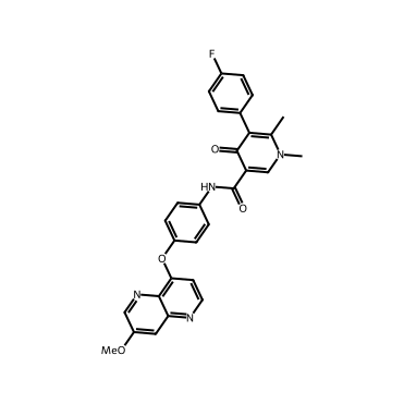 COc1cnc2c(Oc3ccc(NC(=O)c4cn(C)c(C)c(-c5ccc(F)cc5)c4=O)cc3)ccnc2c1